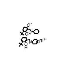 CC(C)(C)c1cccc(C=NC2CCCCC2)c1O.CC(C)(C)c1cccc(C=NC2CCCCC2)c1O.[Cl-].[Cl-].[Ti+2]